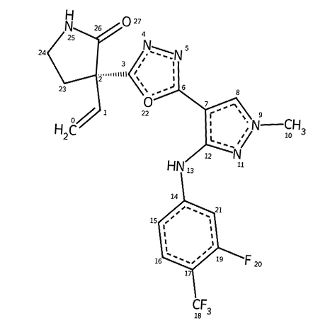 C=C[C@@]1(c2nnc(-c3cn(C)nc3Nc3ccc(C(F)(F)F)c(F)c3)o2)CCNC1=O